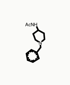 CC(=O)NC1CCN(Cc2ccccc2)CC1